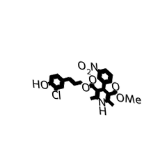 COC(=O)C1=C(C)NC(C)=C(C(=O)OCC=Cc2ccc(O)c(Cl)c2)C1c1cccc([N+](=O)[O-])c1